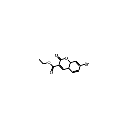 CCOC(=O)C1=CC2C=CC(Br)=CC2OC1=O